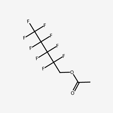 CC(=O)OCC(F)(F)C(F)(F)C(F)(F)C(F)(F)F